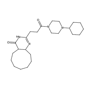 O=C1NC(CCC(=O)N2CCN(C3CCCCC3)CC2)=NC2CCCCCCCC12